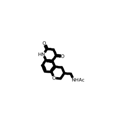 CC(=O)NCC1COc2ccc3c(c2C1)C(=O)CC(=O)N3